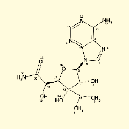 CC1(C)[C@]2(O)[C@H](n3cnc4c(N)ncnc43)O[C@H](C(O)C(N)=O)[C@]12O